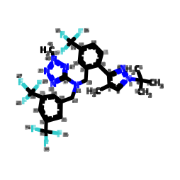 Cc1cn(C(C)(C)C)nc1-c1ccc(C(F)(F)F)cc1CN(Cc1cc(C(F)(F)F)cc(C(F)(F)F)c1)c1nnn(C)n1